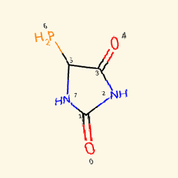 O=C1NC(=O)C(P)N1